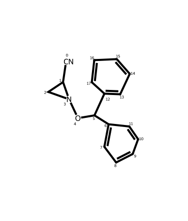 N#CC1CN1OC(c1ccccc1)c1ccccc1